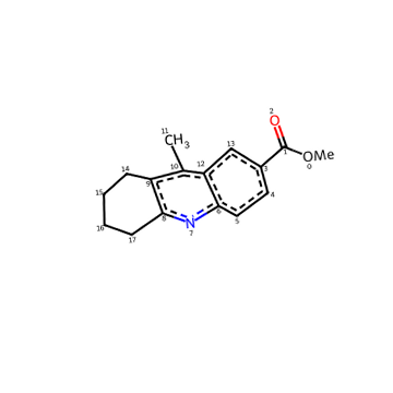 COC(=O)c1ccc2nc3c(c(C)c2c1)CCCC3